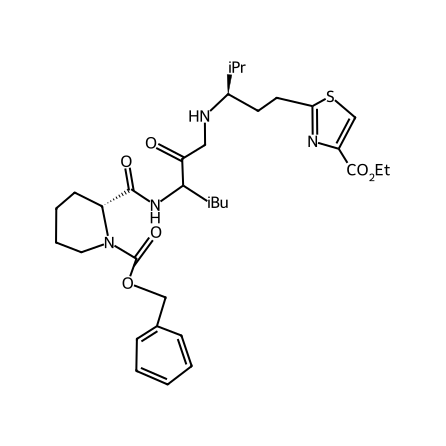 CCOC(=O)c1csc(CC[C@@H](NCC(=O)C(NC(=O)[C@H]2CCCCN2C(=O)OCc2ccccc2)C(C)CC)C(C)C)n1